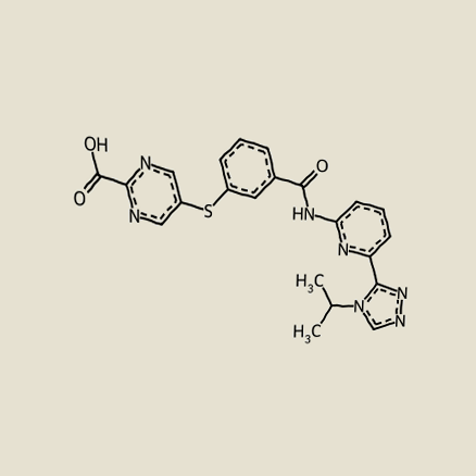 CC(C)n1cnnc1-c1cccc(NC(=O)c2cccc(Sc3cnc(C(=O)O)nc3)c2)n1